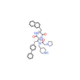 O=C1N[C@@H](C(Cc2ccc(-c3ccccc3)cc2)N(CC2CCNCC2)C(=O)CN2CCCC2)C(=O)N[C@H]1Cc1ccc2ccccc2c1